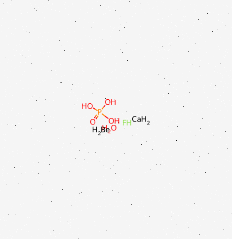 F.O.O=P(O)(O)O.[BeH2].[CaH2]